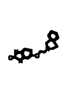 O=C1N=c2ccc(OCCN3CCc4ccccc4C3)cc2=N1